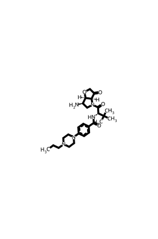 CCCN1CCN(c2ccc(C(=O)N[C@H](C(=O)N3C[C@@H](N)[C@H]4OCC(=O)[C@H]43)C(C)(C)C)cc2)CC1